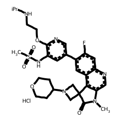 CC(C)NCCOc1ncc(-c2cc3c4c(cnc3cc2F)N(C)C(=O)C42CN(C3CCOCC3)C2)cc1NS(C)(=O)=O.Cl